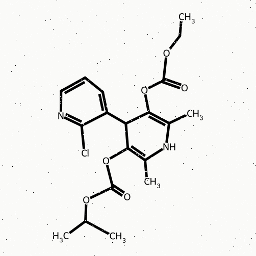 CCOC(=O)OC1=C(C)NC(C)=C(OC(=O)OC(C)C)C1c1cccnc1Cl